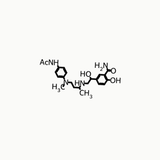 CC(=O)Nc1ccc(N(C)CCC(C)NCC(O)c2ccc(O)c(C(N)=O)c2)cc1